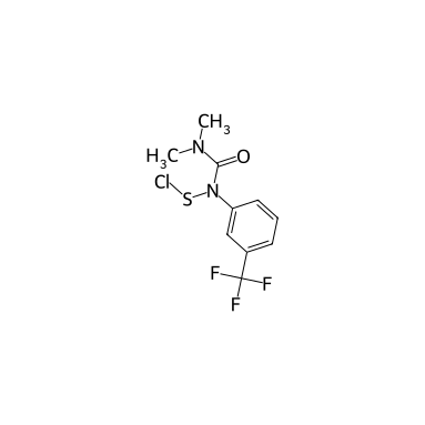 CN(C)C(=O)N(SCl)c1cccc(C(F)(F)F)c1